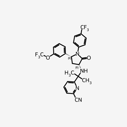 CC(C)(N[C@@H]1C[C@H](c2cccc(OC(F)(F)F)c2)N(c2ccc(C(F)(F)F)cc2)C1=O)c1cccc(C#N)n1